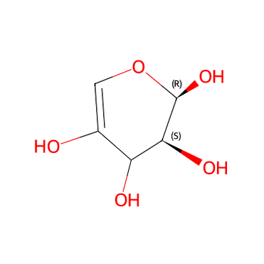 OC1=CO[C@@H](O)[C@@H](O)C1O